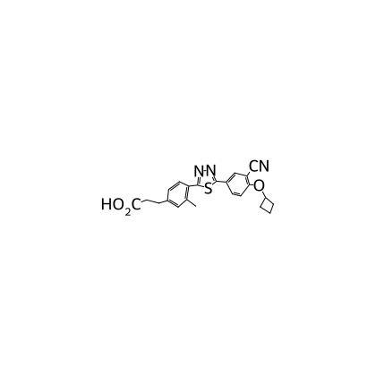 Cc1cc(CCC(=O)O)ccc1-c1nnc(-c2ccc(OC3CCC3)c(C#N)c2)s1